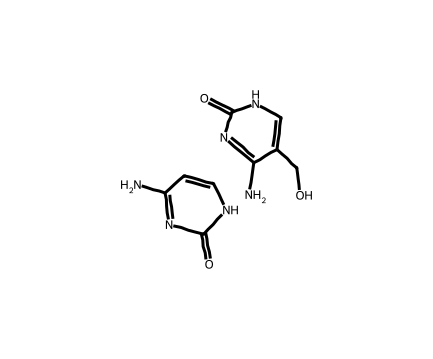 Nc1cc[nH]c(=O)n1.Nc1nc(=O)[nH]cc1CO